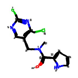 CN(Cc1cnc(Cl)nc1Cl)C(=O)c1ccc[nH]1